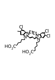 CCN1C(=CC=Cc2n(CC)c3cc(Cl)c(C)cc3[n+]2CCCCCC(=O)O)N(CCCCCC(=O)O)c2cc(Cl)c(Cl)cc21